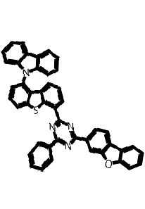 c1ccc(-c2nc(-c3ccc4c(c3)oc3ccccc34)nc(-c3cccc4c3sc3cccc(-n5c6ccccc6c6ccccc65)c34)n2)cc1